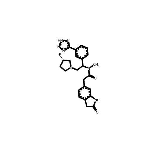 CN(C(=O)Cc1ccc2c(c1)NC(=O)C2)C(CN1CC[C@H](F)C1)c1cccc(-c2nn[nH]n2)c1